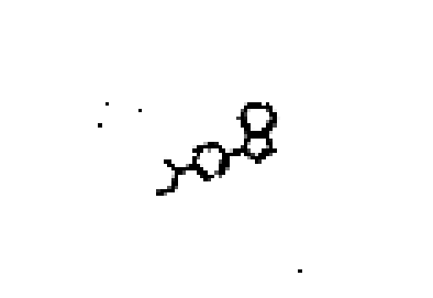 CCC(C)c1ccc([C]2C=Cc3ccccc32)cc1